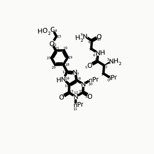 CC(C)C[C@H](N)C(=O)NCC(N)=O.CCCn1c(=O)c2[nH]c(-c3ccc(OCC(=O)O)cc3)nc2n(CCC)c1=O